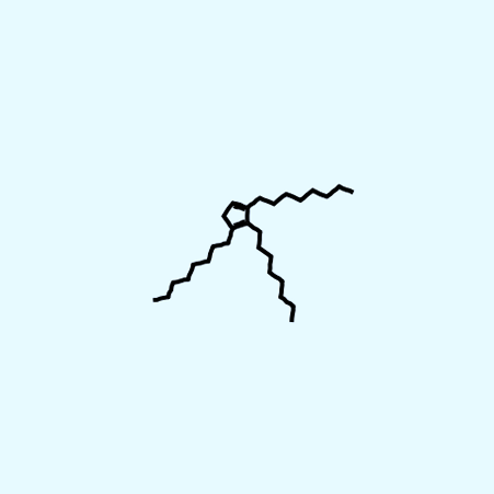 CCCCCCCCC1=CCC(CCCCCCCC)=C1CCCCCCCC